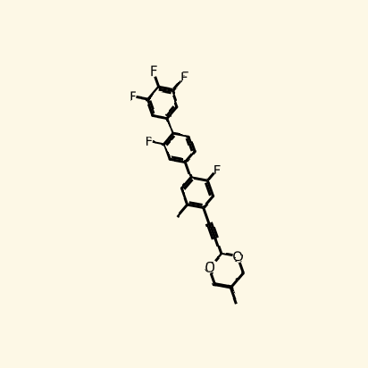 Cc1cc(-c2ccc(-c3cc(F)c(F)c(F)c3)c(F)c2)c(F)cc1C#CC1OCC(C)CO1